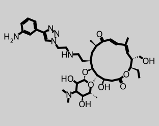 CC[C@H]1OC(=O)C[C@@H](O)[C@H](C)[C@@H](O[C@@H]2O[C@H](C)[C@@H](O)C(N(C)C)C2O)[C@@H](CCNCCn2cc(-c3cccc(N)c3)nn2)C[C@@H](C)C(=O)/C=C/C(C)=C/[C@@H]1CO